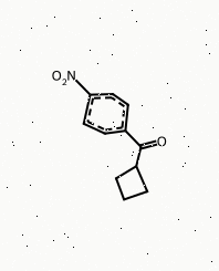 O=C(c1ccc([N+](=O)[O-])cc1)C1CCC1